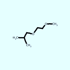 [CH2]C(C)COCCOC